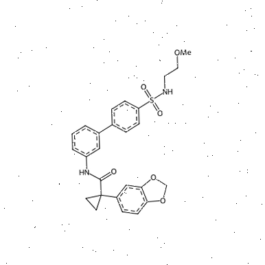 COCCNS(=O)(=O)c1ccc(-c2cccc(NC(=O)C3(c4ccc5c(c4)OCO5)CC3)c2)cc1